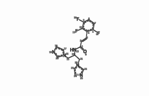 O=C(C=Cc1c(F)ccc(F)c1F)NC(Cn1ccnc1)Cn1ccnc1